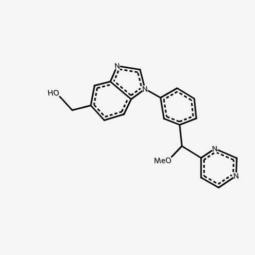 COC(c1cccc(-n2cnc3cc(CO)ccc32)c1)c1ccncn1